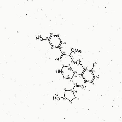 COC(C[C@H]1CNC[C@@H](C(=O)N2CCC(O)C2)[C@H]1c1cccc(F)c1C)C(=O)c1cccc(O)c1